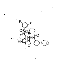 O=C(Nc1n[nH]c2c1CN(S(=O)(=O)c1cc(F)cc(F)c1)CC2)c1ccc(N2CCOCC2)cc1NC(=O)C1CCCCN1